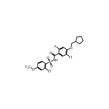 O=C(NS(=O)(=O)c1ccc(OC(F)(F)F)cc1Cl)c1cc(Cl)c(OCC2CCCC2)cc1F